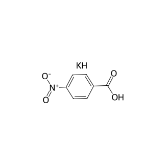 O=C(O)c1ccc([N+](=O)[O-])cc1.[KH]